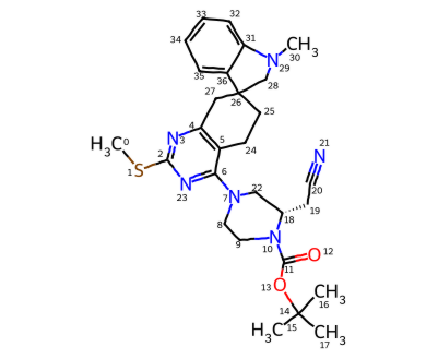 CSc1nc2c(c(N3CCN(C(=O)OC(C)(C)C)[C@@H](CC#N)C3)n1)CCC1(C2)CN(C)c2ccccc21